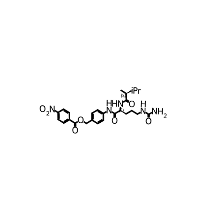 CC(C)[C@H](C)C(=O)N[C@@H](CCCNC(N)=O)C(=O)Nc1ccc(COC(=O)c2ccc([N+](=O)[O-])cc2)cc1